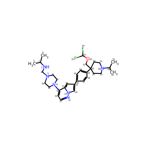 CC(C)NCN1CCN(c2ccnn3cc(-c4ccc(C5(COC(F)F)CCN(C(C)C)CC5)cc4)cc23)CC1